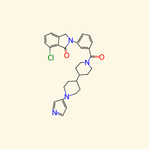 O=C(c1cccc(N2Cc3cccc(Cl)c3C2=O)c1)N1CCC(C2CCN(c3ccncc3)CC2)CC1